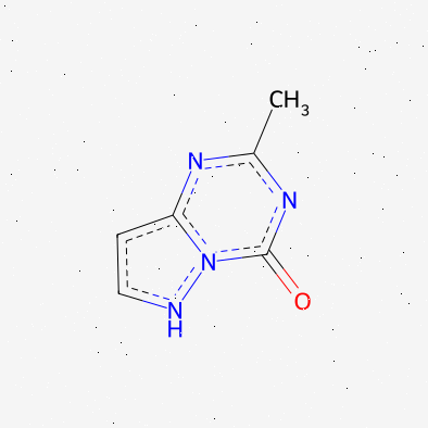 Cc1nc(=O)n2[nH]ccc2n1